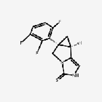 Fc1ccc(F)c([C@]23C[C@H]2c2c[nH]c(=S)n2C3)c1F